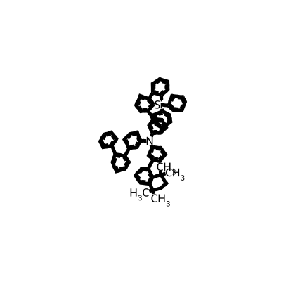 CC1(C)CCC(C)(C)c2c(-c3cccc(N(c4cccc(-c5ccccc5-c5ccccc5)c4)c4cccc(-c5cccc6c5[Si](c5ccccc5)(c5ccccc5)c5ccccc5-6)c4)c3)cccc21